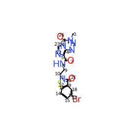 Cn1nnc2c(C(=O)NCCn3sc4ccc(Br)cc4c3=O)ncn2c1=O